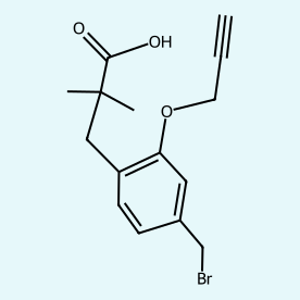 C#CCOc1cc(CBr)ccc1CC(C)(C)C(=O)O